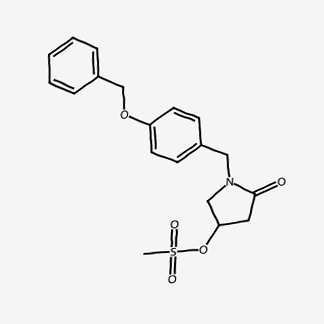 CS(=O)(=O)OC1CC(=O)N(Cc2ccc(OCc3ccccc3)cc2)C1